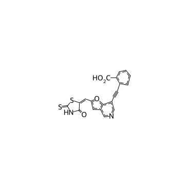 O=C1NC(=S)S/C1=C/c1cc2cncc(C#Cc3ccccc3C(=O)O)c2o1